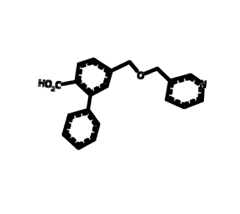 O=C(O)c1ccc(COCc2cccnc2)cc1-c1ccccc1